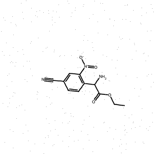 CCOC(=O)C(N)c1ccc(C#N)cc1[N+](=O)[O-]